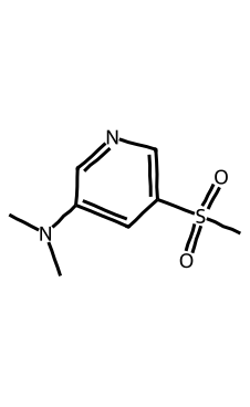 CN(C)c1cncc(S(C)(=O)=O)c1